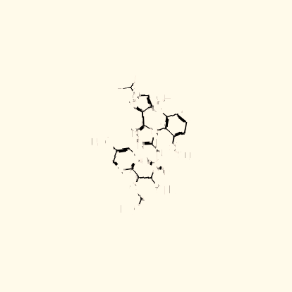 CCOC(c1ncc(C)cn1)C(C)S(=O)(=O)Nc1nnc(-c2ccn(C(F)F)n2)n1-c1c(OC)cccc1OC